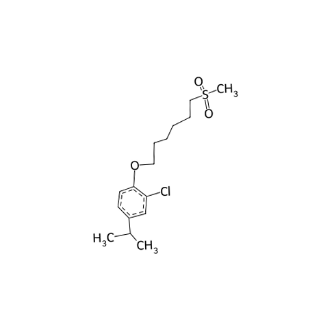 CC(C)c1ccc(OCCCCCCS(C)(=O)=O)c(Cl)c1